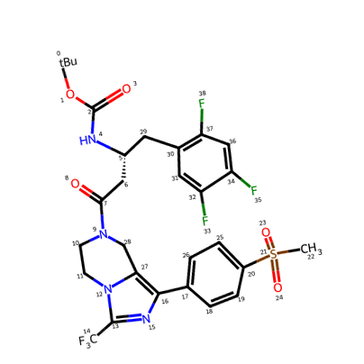 CC(C)(C)OC(=O)N[C@@H](CC(=O)N1CCn2c(C(F)(F)F)nc(-c3ccc(S(C)(=O)=O)cc3)c2C1)Cc1cc(F)c(F)cc1F